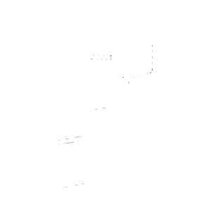 C[C@H]1CC(=O)N(OCc2ccccc2)C1=O